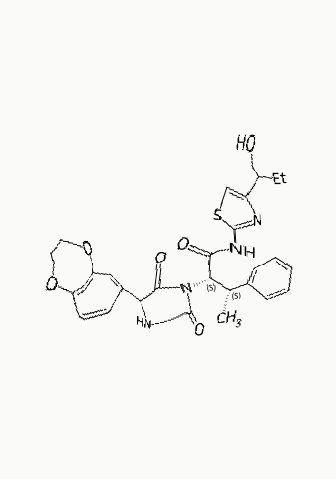 CCC(O)c1csc(NC(=O)[C@H]([C@@H](C)c2ccccc2)N2C(=O)NC(c3ccc4c(c3)OCCO4)C2=O)n1